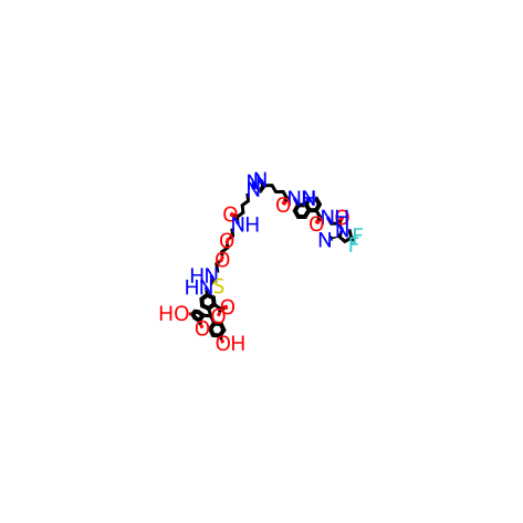 N#C[C@@H]1CC(F)(F)CN1C(=O)CNC(=O)c1ccnc2c(NC(=O)CCCc3cn(CCCCC(=O)NCCOCCOCCNC(=S)Nc4ccc5c(c4)C(=O)OC54c5ccc(O)cc5Oc5cc(O)ccc54)nn3)cccc12